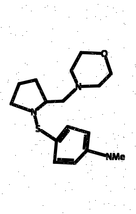 CNc1ccc(SN2CCCC2CN2CCOCC2)cc1